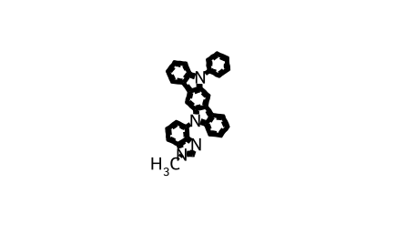 Cn1cnc2c(-n3c4ccccc4c4cc5c(cc43)c3ccccc3n5-c3ccccc3)cccc21